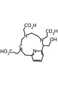 O=C(O)CN1CCN(CC(=O)O)Cc2cccc(n2)C(CO)N(CC(=O)O)CC1